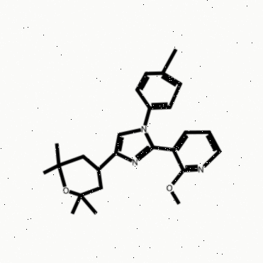 COc1ncccc1-c1nc(C2CC(C)(C)OC(C)(C)C2)cn1-c1ccc(C)cc1